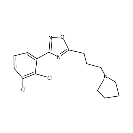 Clc1cccc(-c2noc(CCCN3CCCC3)n2)c1Cl